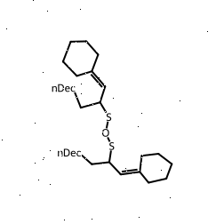 CCCCCCCCCCCC(C=C1CCCCC1)SOSC(C=C1CCCCC1)CCCCCCCCCCC